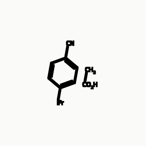 CC(=O)O.CC(C)c1ccc(C#N)cc1